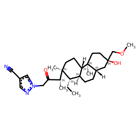 CC[C@H]1[C@@H]2CC[C@H]3C[C@@](O)(COC)CC[C@]3(C)[C@H]2CC[C@]1(C)[C@H](C)C(=O)Cn1cc(C#N)cn1